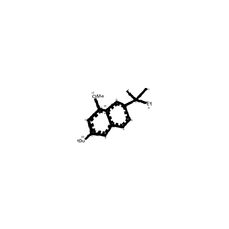 CCC(C)(C)c1ccc2cc(C(C)(C)C)cc(OC)c2c1